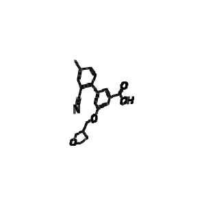 Cc1ccc(-c2cc(OCC3CCOC3)cc(C(=O)O)c2)c(C#N)c1